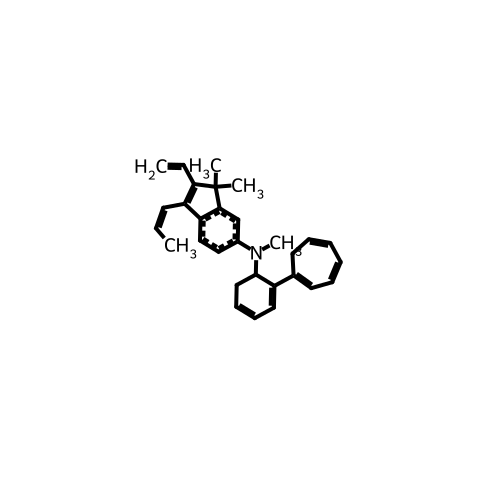 C=CC1=C(/C=C\C)c2ccc(N(C)C3CC=CC=C3C3=CC=CC=CC3)cc2C1(C)C